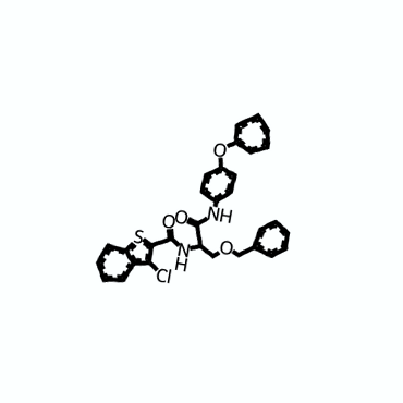 O=C(NC(COCc1ccccc1)C(=O)Nc1ccc(Oc2ccccc2)cc1)c1sc2ccccc2c1Cl